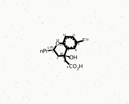 CCC[C@@H]1C[C@@](O)(CC(=O)O)c2cc(F)ccc2O1